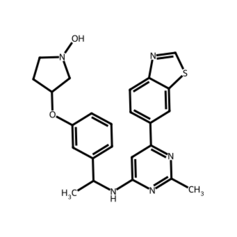 Cc1nc(NC(C)c2cccc(OC3CCN(O)C3)c2)cc(-c2ccc3ncsc3c2)n1